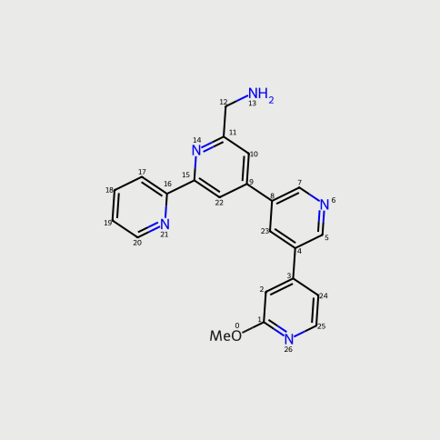 COc1cc(-c2cncc(-c3cc(CN)nc(-c4ccccn4)c3)c2)ccn1